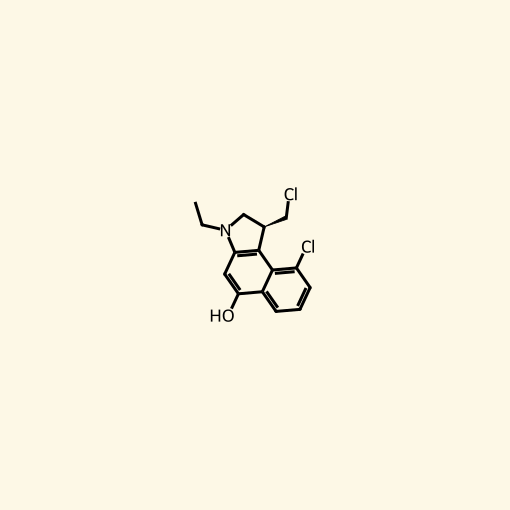 CCN1C[C@@H](CCl)c2c1cc(O)c1cccc(Cl)c21